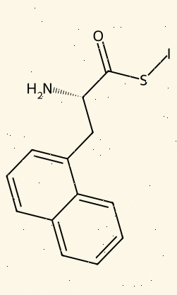 N[C@@H](Cc1cccc2ccccc12)C(=O)SI